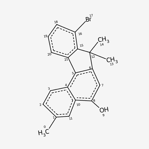 Cc1ccc2c3c(cc(O)c2c1)C(C)(C)c1c(Br)cccc1-3